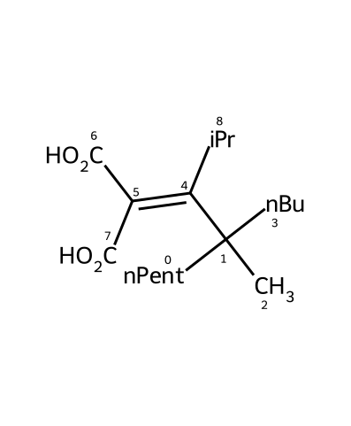 CCCCCC(C)(CCCC)C(=C(C(=O)O)C(=O)O)C(C)C